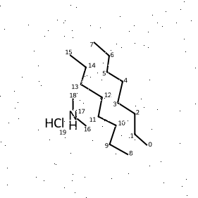 CCCCCCCC.CCCCCCCC.CNC.Cl